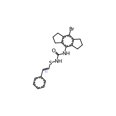 O=C(NS/C=C/c1ccccc1)Nc1c2c(c(Br)c3c1CCC3)CCC2